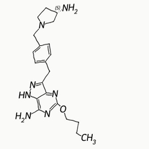 CCCCOc1nc(N)c2[nH]nc(Cc3ccc(CN4CC[C@H](N)C4)cc3)c2n1